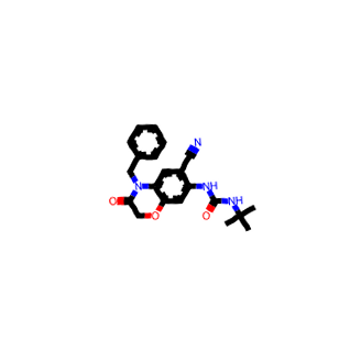 CC(C)(C)NC(=O)Nc1cc2c(cc1C#N)N(Cc1ccccc1)C(=O)CO2